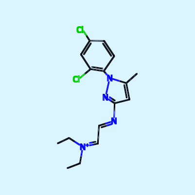 CC[N+](=CC=Nc1cc(C)n(-c2ccc(Cl)cc2Cl)n1)CC